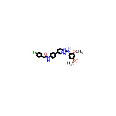 COc1cc([S+](C)[O-])ccc1Nc1nc2ccc(-c3ccc(NC(=O)Cc4ccc(F)cc4)cc3)cn2n1